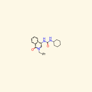 CC(C)Cn1cc(NC(=O)NC2CCCCC2)c2ccccc2c1=O